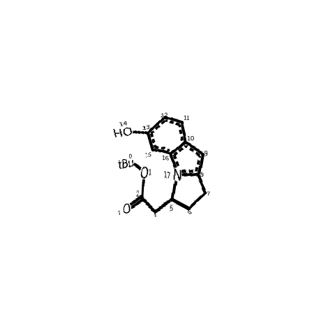 CC(C)(C)OC(=O)CC1CCc2cc3ccc(O)cc3n21